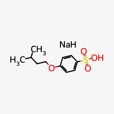 CC(C)CCOc1ccc(S(=O)(=O)O)cc1.[NaH]